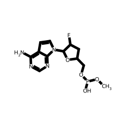 COP(O)OCC1CC(F)C(n2ccc3c(N)ncnc32)O1